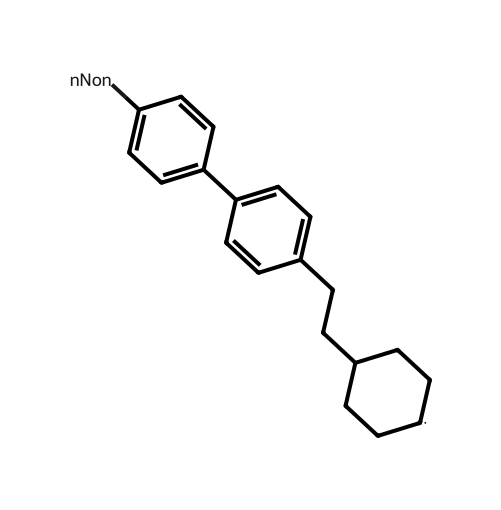 CCCCCCCCCc1ccc(-c2ccc(CCC3CC[CH]CC3)cc2)cc1